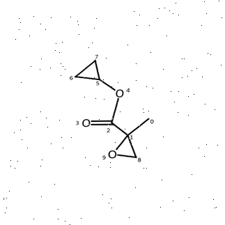 CC1(C(=O)OC2CC2)CO1